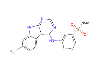 CNS(=O)(=O)c1cccc(Nc2ncnc3[nH]c4cc(C)ccc4c23)c1